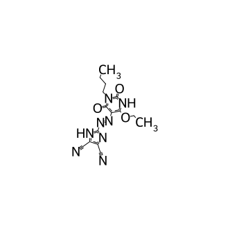 CCCCn1c(=O)[nH]c(OCC)c(/N=N/c2nc(C#N)c(C#N)[nH]2)c1=O